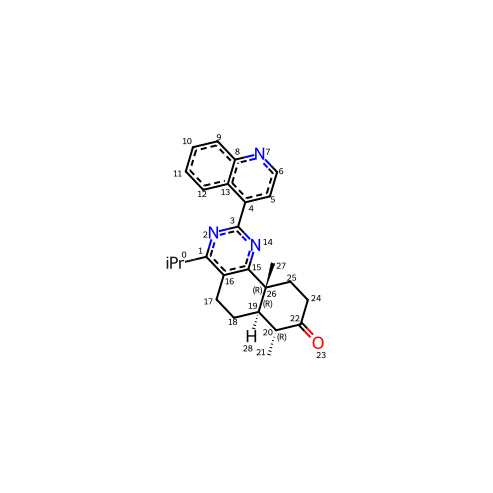 CC(C)c1nc(-c2ccnc3ccccc23)nc2c1CC[C@@H]1[C@@H](C)C(=O)CC[C@@]21C